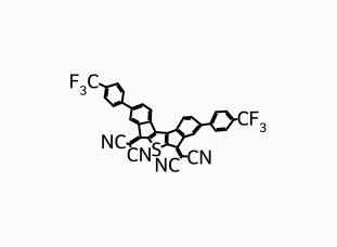 N#CC(C#N)=C1c2cc(-c3ccc(C(F)(F)F)cc3)ccc2-c2c1sc1c2-c2ccc(-c3ccc(C(F)(F)F)cc3)cc2C1=C(C#N)C#N